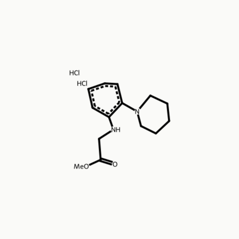 COC(=O)CNc1ccccc1N1CCCCC1.Cl.Cl